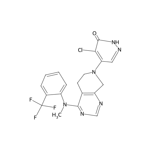 CN(c1ccccc1C(F)(F)F)c1ncnc2c1CCN(c1cn[nH]c(=O)c1Cl)C2